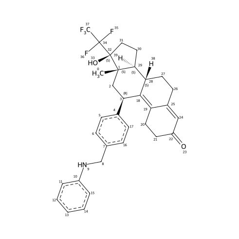 C[C@]12C[C@H](c3ccc(CNc4ccccc4)cc3)C3=C4CCC(=O)C=C4CC[C@H]3[C@@H]1CC[C@@]2(O)C(F)(F)C(F)(F)F